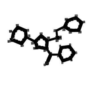 O=C(c1ccccc1)n1nc(-c2cccnc2)cc1NCc1ccccc1